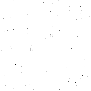 NC1CCC[N]1